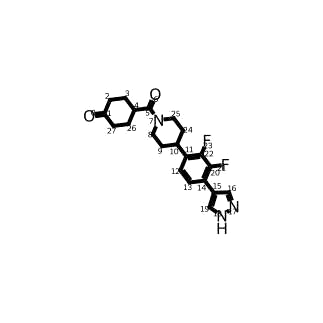 O=C1CCC(C(=O)N2CCC(c3ccc(-c4cn[nH]c4)c(F)c3F)CC2)CC1